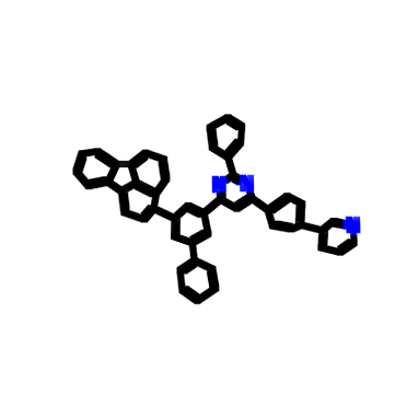 c1ccc(-c2cc(-c3cc(-c4ccc(-c5cccnc5)cc4)nc(-c4ccccc4)n3)cc(-c3ccc4c5c(cccc35)-c3ccccc3-4)c2)cc1